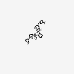 O=C(Nc1ccccc1-c1nc2cc(CN3CC[C@@H](F)C3)cnc2s1)c1cccc(-c2cccc(F)c2)n1